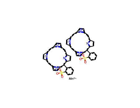 O=S(=O)([O-])c1ccccc1-c1c2nc(cc3ccc(cc4nc(cc5ccc1[nH]5)C=C4)[nH]3)C=C2.O=S(=O)([O-])c1ccccc1-c1c2nc(cc3ccc(cc4nc(cc5ccc1[nH]5)C=C4)[nH]3)C=C2.[Mn+2]